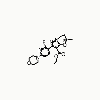 CCOC(=O)c1c(-c2ccc(N3CCOCC3)nc2F)nn2c1O[C@H](C)CC2